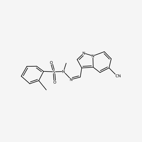 Cc1ccccc1S(=O)(=O)N(C)/N=C\c1cnn2ccc(C#N)cc12